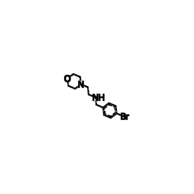 Brc1ccc(CNCCN2CCOCC2)cc1